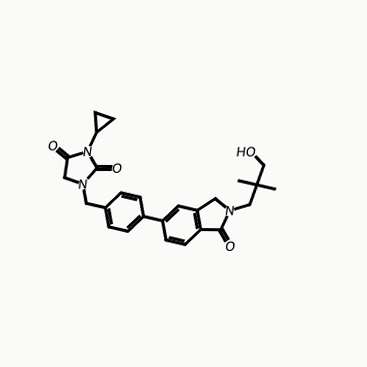 CC(C)(CO)CN1Cc2cc(-c3ccc(CN4CC(=O)N(C5CC5)C4=O)cc3)ccc2C1=O